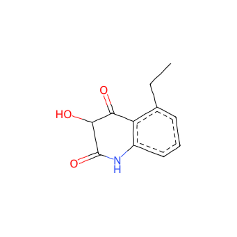 CCc1cccc2c1C(=O)C(O)C(=O)N2